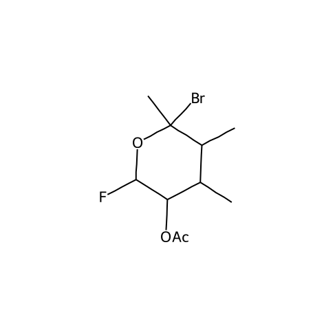 CC(=O)OC1C(F)OC(C)(Br)C(C)C1C